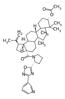 C=C(C)[C@@H]1CC[C@]2(C(=O)N3CCC[C@@H]3c3nc(-c4cccnc4)no3)CCC3[C@H](CC[C@H]4[C@@]3(C)CCC3C(C)(C)[C@@H](OC(C)=O)CC[C@@]34C)[C@@H]12